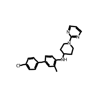 Cc1cc(-c2ccc(Cl)cc2)ccc1NC1CCN(c2ncccn2)CC1